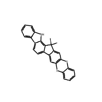 CC1(C)c2cc3c(cc2-c2ccc4c([nH]c5ccccc54)c21)Sc1ccccc1S3